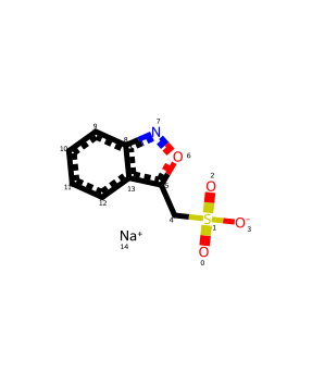 O=S(=O)([O-])Cc1onc2ccccc12.[Na+]